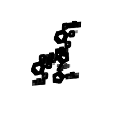 CCCCC1=[C]([Zr+2][C]2=C(CCCC)C=CC2)CC=C1.CCCCOc1cccc(OCCCC)c1[O-].CCCCOc1cccc(OCCCC)c1[O-]